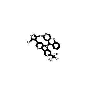 Cc1noc(C)c1-c1cnc2c3cnc(C(C)(C)O)cc3n(C(c3ccccc3F)C3CCOCC3)c2c1